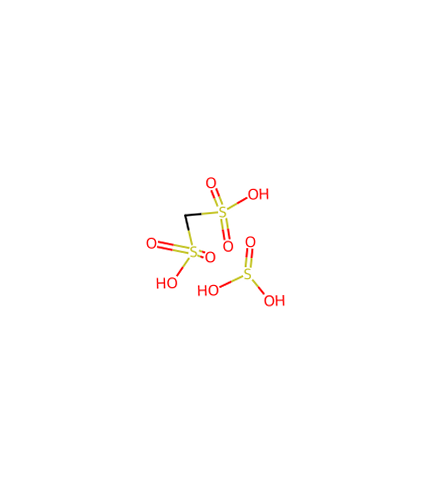 O=S(=O)(O)CS(=O)(=O)O.O=S(O)O